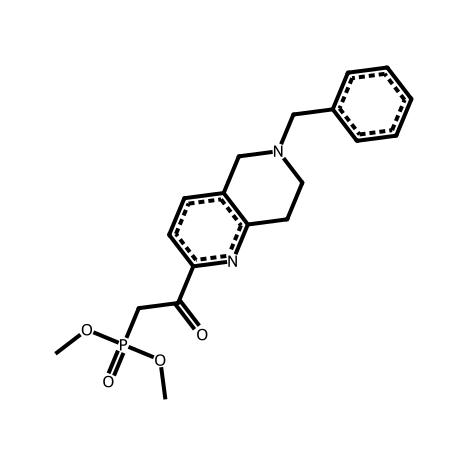 COP(=O)(CC(=O)c1ccc2c(n1)CCN(Cc1ccccc1)C2)OC